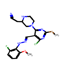 COc1cccc(F)c1N/N=C/c1c(Cl)nc(SC)nc1N1CCNC(CC#N)C1